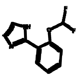 FC(F)Oc1ccccc1-c1n[c]c[nH]1